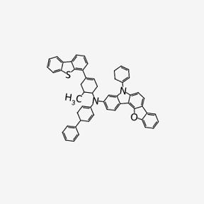 CC1CC(c2cccc3c2sc2ccccc23)=CCC1N(C1=CCC(c2ccccc2)C=C1)c1ccc2c3c4oc5ccccc5c4ccc3n(C3=CC=CCC3)c2c1